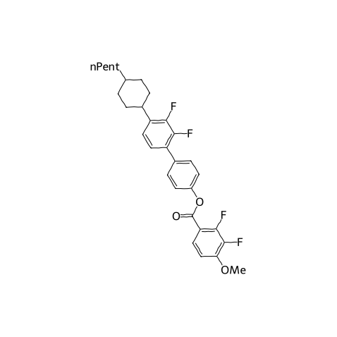 CCCCCC1CCC(c2ccc(-c3ccc(OC(=O)c4ccc(OC)c(F)c4F)cc3)c(F)c2F)CC1